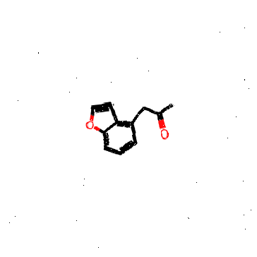 CC(=O)Cc1cccc2oc[c]c12